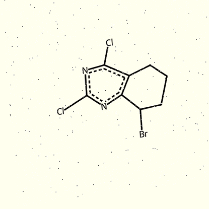 Clc1nc(Cl)c2c(n1)C(Br)CCC2